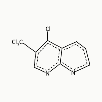 Clc1c(C(Cl)(Cl)Cl)cnc2ncccc12